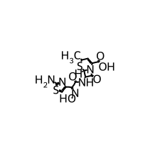 CC1C=C(C(=O)O)N2C(=O)C(NC(=O)C(=NO)c3csc(N)n3)[C@@H]2S1